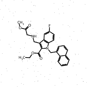 CCOC(=O)c1c(CNCC(=O)OC)c2cc(F)ccc2n1Cc1cccc2ccccc12